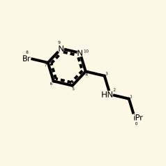 CC(C)CNCc1ccc(Br)nn1